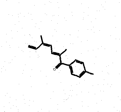 C=C/C(C)=C\C=C(/C)C(=O)c1ccc(C)cc1